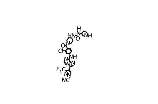 N#CCn1cc(-c2cnc3c(Nc4ccc(C(=O)N5CCC(NC(=O)N[C@H]6CCNC6)CC5)c(Cl)c4)nccn23)c(C(F)(F)F)n1